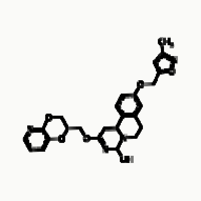 Cc1cc(COc2ccc3c(c2)CCN2C3=CC(OCC3COc4ncccc4O3)=NC2O)on1